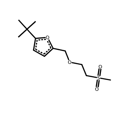 CC(C)(C)c1ccc(COCCS(C)(=O)=O)o1